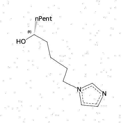 CCCCC[C@@H](O)CCCCn1ccnc1